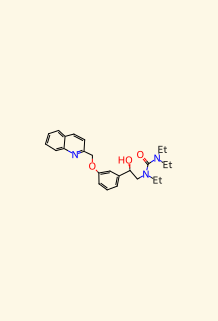 CCN(CC)C(=O)N(CC)C[C@H](O)c1cccc(OCc2ccc3ccccc3n2)c1